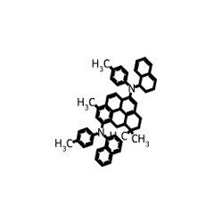 Cc1ccc(N(c2cc(C)c3c4c2CC2C5=C(C=C(N(c6ccc(C)cc6)C6CCC=C7C=CC=CC76)C(C=C3)C54)CCC2(C)C)c2cccc3ccccc23)cc1